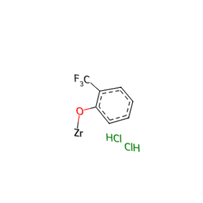 Cl.Cl.FC(F)(F)c1ccccc1[O][Zr]